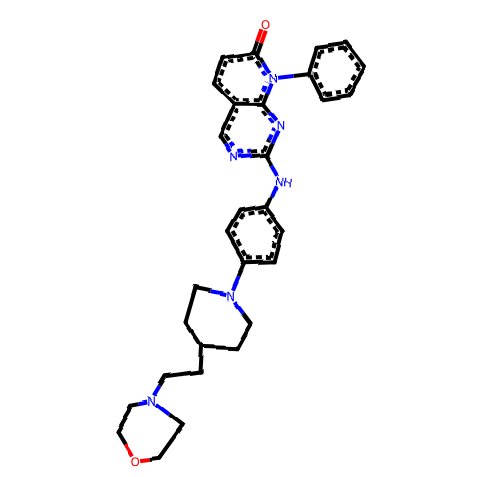 O=c1ccc2cnc(Nc3ccc(N4CCC(CCN5CCOCC5)CC4)cc3)nc2n1-c1ccccc1